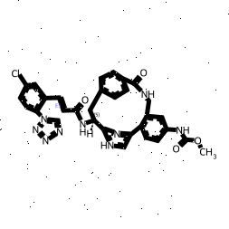 COC(=O)Nc1ccc2c(c1)CNC(=O)c1ccc(cc1)C[C@H](NC(=O)/C=C/c1cc(Cl)ccc1-n1cnnn1)c1nc-2c[nH]1